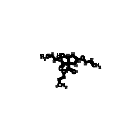 C=CCOC(=O)C1(C(=O)OCC=C)C[C@@H](OCC=C)CC1O